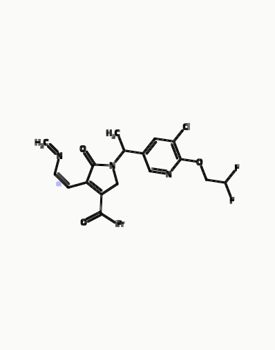 C=N/C=C\C1=C(C(=O)C(C)C)CN(C(C)c2cnc(OCC(F)F)c(Cl)c2)C1=O